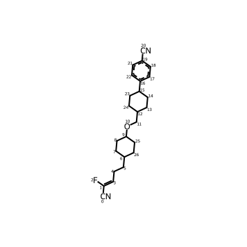 N#CC(F)=CCCC1CCC(OCC2CCC(c3ccc(C#N)cc3)CC2)CC1